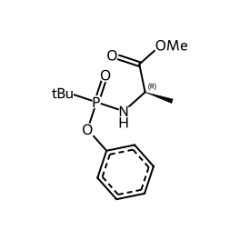 COC(=O)[C@@H](C)NP(=O)(Oc1ccccc1)C(C)(C)C